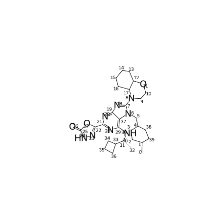 CC1CCC(Cn2c(N3CCOC4CCCCC43)nc3nc(-c4n[nH]c(=O)o4)nc(N[C@H](C)C4CCC4)c32)CC1